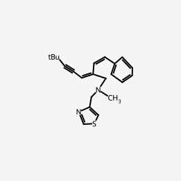 CN(CC(/C=C\c1ccccc1)=C/C#CC(C)(C)C)Cc1cscn1